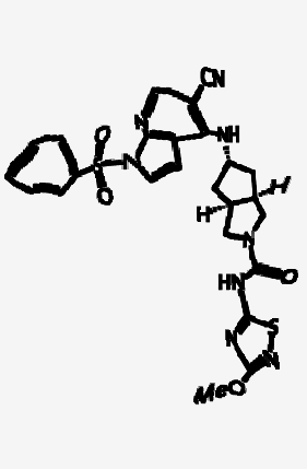 COc1nsc(NC(=O)N2C[C@H]3C[C@H](Nc4c(C#N)cnc5c4ccn5S(=O)(=O)c4ccccc4)C[C@H]3C2)n1